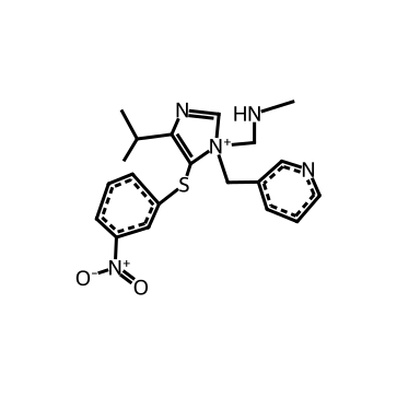 CNC[N+]1(Cc2cccnc2)C=NC(C(C)C)=C1Sc1cccc([N+](=O)[O-])c1